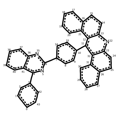 c1ccc(-c2nc(-c3ccc(-c4c5c(ccc6ccccc65)nc5ccc6ccccc6c45)cc3)nc3ccccc23)cc1